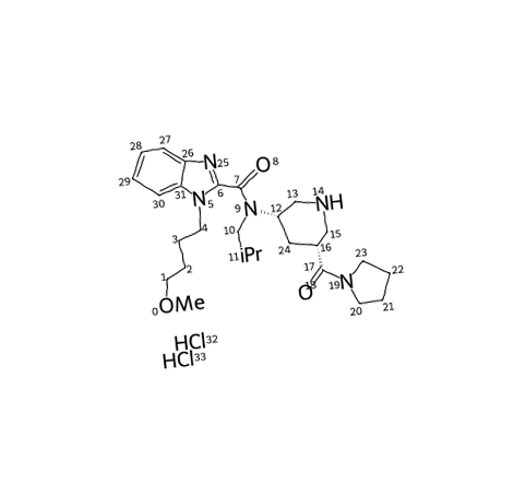 COCCCCn1c(C(=O)N(CC(C)C)[C@@H]2CNC[C@H](C(=O)N3CCCC3)C2)nc2ccccc21.Cl.Cl